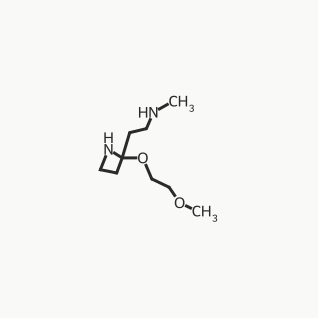 CNCCC1(OCCOC)CCN1